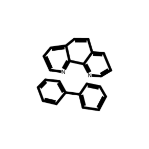 c1ccc(-c2ccccc2)cc1.c1cnc2c(c1)ccc1cccnc12